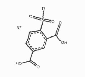 O=C(O)c1ccc(S(=O)(=O)[O-])c(C(=O)O)c1.[K+]